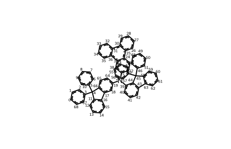 c1ccc(C2(c3ccccc3)c3ccccc3-c3cc(N(c4ccc5c6ccccc6c6ccccc6c5c4)c4cccc5c4C(c4ccccc4)(c4ccccc4)c4ccccc4-5)ccc32)cc1